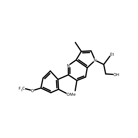 CCC(CO)n1cc(C)c2nc(-c3ccc(OC(F)(F)F)cc3OC)c(C)cc21